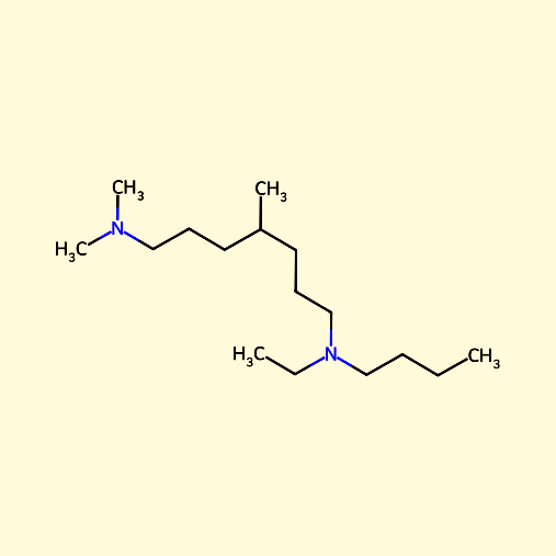 CCCCN(CC)CCCC(C)CCCN(C)C